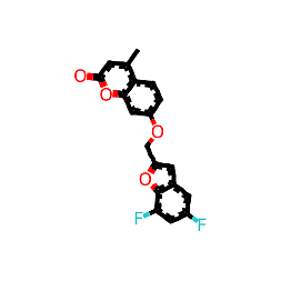 Cc1cc(=O)oc2cc(OCc3cc4cc(F)cc(F)c4o3)ccc12